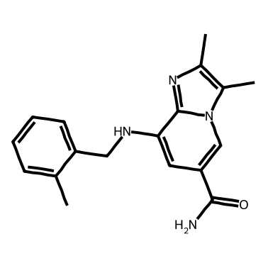 Cc1ccccc1CNc1cc(C(N)=O)cn2c(C)c(C)nc12